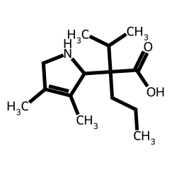 CCCC(C(=O)O)(C(C)C)C1NCC(C)=C1C